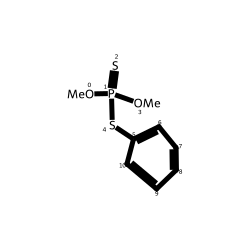 COP(=S)(OC)Sc1ccccc1